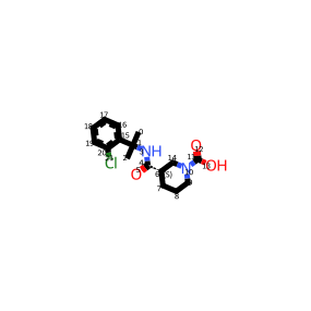 CC(C)(NC(=O)[C@H]1CCCN(C(=O)O)C1)c1ccccc1Cl